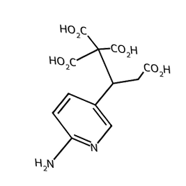 Nc1ccc(C(CC(=O)O)C(C(=O)O)(C(=O)O)C(=O)O)cn1